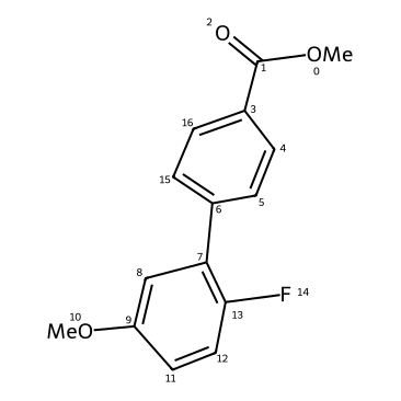 COC(=O)c1ccc(-c2cc(OC)ccc2F)cc1